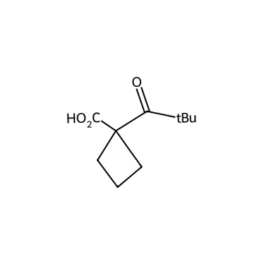 CC(C)(C)C(=O)C1(C(=O)O)CCC1